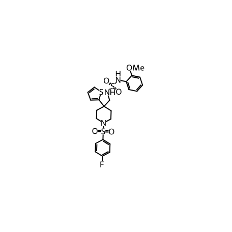 COc1ccccc1NS(=O)(=O)NCC1(c2cccs2)CCN(S(=O)(=O)c2ccc(F)cc2)CC1